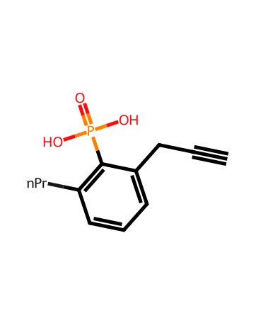 C#CCc1cccc(CCC)c1P(=O)(O)O